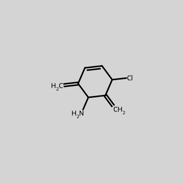 C=C1C=CC(Cl)C(=C)C1N